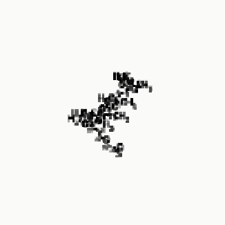 C=C[Si](C)(O[Si](C)(C)CC[Si](OC)(OC)OC)O[Si](C)(C)O[Si](CCCOCC1CO1)(OC)OC